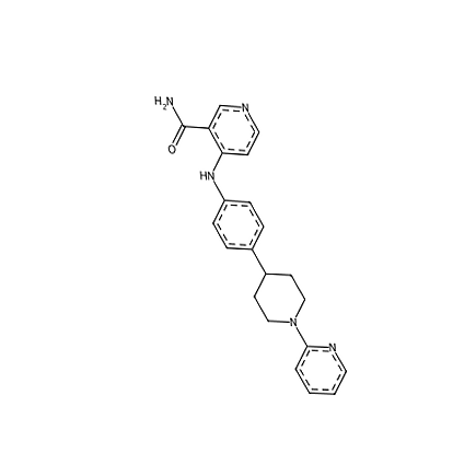 NC(=O)c1cnccc1Nc1ccc(C2CCN(c3ccccn3)CC2)cc1